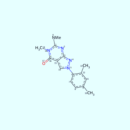 CNc1nc2nn(-c3ccc(C)cc3C)cc2c(=O)n1C